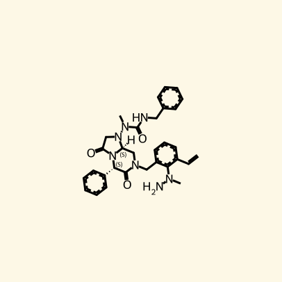 C=Cc1cccc(CN2C[C@H]3N(C(=O)CN3N(C)C(=O)NCc3ccccc3)[C@@H](c3ccccc3)C2=O)c1N(C)N